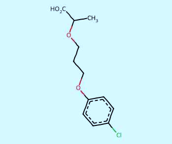 CC(OCCCOc1ccc(Cl)cc1)C(=O)O